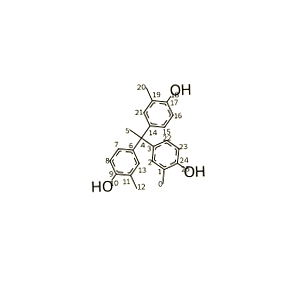 Cc1cc(C(C)(c2ccc(O)c(C)c2)c2ccc(O)c(C)c2)ccc1O